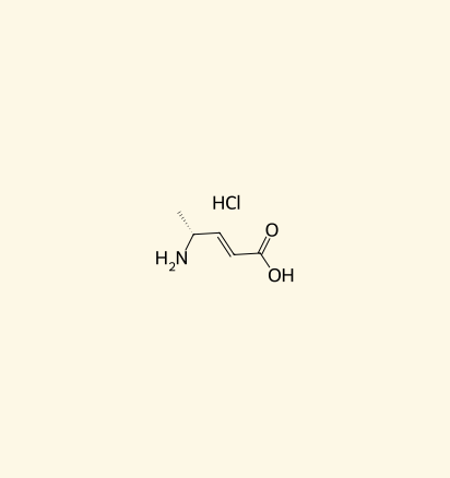 C[C@@H](N)/C=C/C(=O)O.Cl